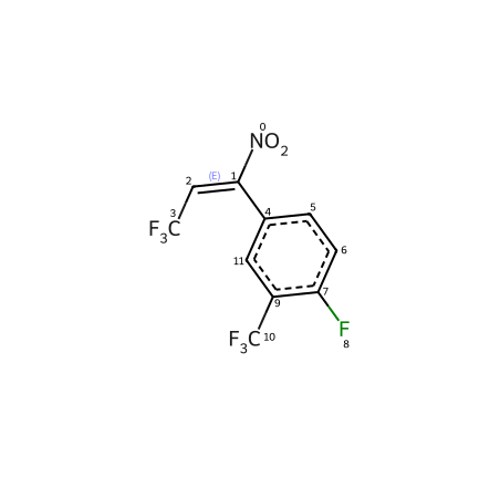 O=[N+]([O-])/C(=C/C(F)(F)F)c1ccc(F)c(C(F)(F)F)c1